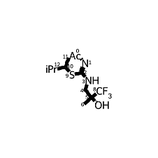 CC(=O)/N=C(/NCC(C)(O)C(F)(F)F)SC(C)C(C)C